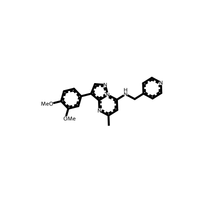 COc1ccc(-c2cnn3c(NCc4ccncc4)cc(C)nc23)cc1OC